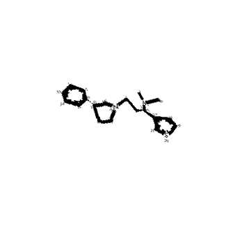 CN(C)[C@H](CCN1CC[C@H](c2ccccc2)C1)c1ccsc1